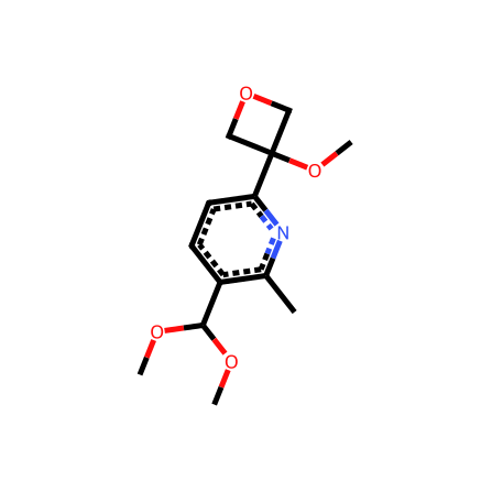 COC(OC)c1ccc(C2(OC)COC2)nc1C